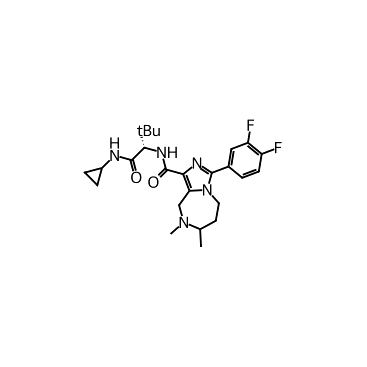 CC1CCn2c(-c3ccc(F)c(F)c3)nc(C(=O)N[C@H](C(=O)NC3CC3)C(C)(C)C)c2CN1C